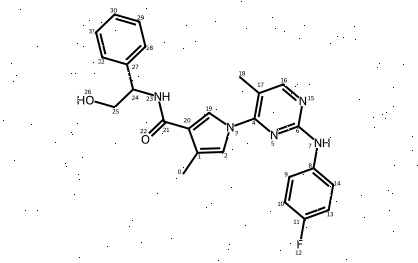 Cc1cn(-c2nc(Nc3ccc(F)cc3)ncc2C)cc1C(=O)NC(CO)c1ccccc1